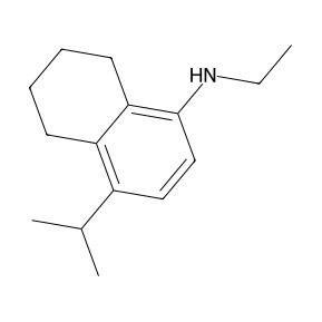 CCNc1ccc(C(C)C)c2c1CCCC2